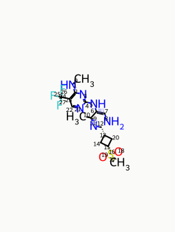 CNc1nc(NC(=C/N)/C(C)=N\C[C@H]2C[C@@H](S(C)(=O)=O)C2)ncc1C(F)(F)F